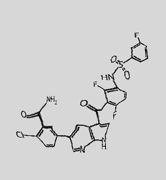 NC(=O)c1cc(-c2cnc3[nH]cc(C(=O)c4c(F)ccc(NS(=O)(=O)c5cccc(F)c5)c4F)c3c2)ccc1Cl